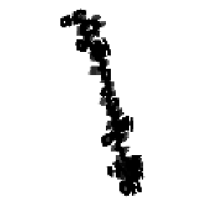 O=Cc1cccc(C(=O)NCCCOCCOCCOCCCNC(=O)CCCCC2SC[C@@H]3NC(=O)N[C@H]23)c1